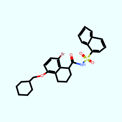 O=C(NS(=O)(=O)c1cccc2ccccc12)C1CCCc2c(OCC3CCCCC3)ccc(Br)c21